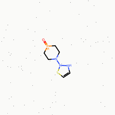 O=[PH]1CCN(N2NC=CS2)CC1